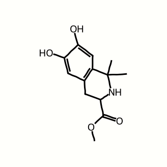 COC(=O)C1Cc2cc(O)c(O)cc2C(C)(C)N1